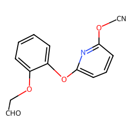 N#COc1cccc(Oc2ccccc2OCC=O)n1